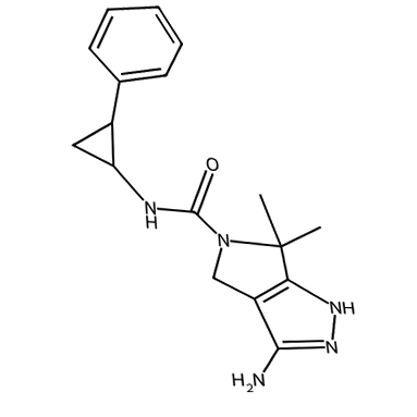 CC1(C)c2[nH]nc(N)c2CN1C(=O)NC1CC1c1ccccc1